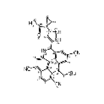 CC(C)(C)CNc1c(C#N)cnc2c(C#N)cc(NC(C3=CN(C4(C(N)=O)CC4)NN3)c3cccc(C#N)c3)cc12